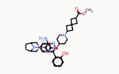 COC(=O)C1CC2(C1)CC(N1CCC(Oc3ccc(N4C5CCC4CN(c4cc(-c6ccccc6O)nnc4N)C5)cn3)CC1)C2